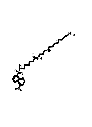 CN(C)C1=c2cccc(S(=O)(=O)NCCCCCC(=O)NCCCNCCCCNCCCN)c2=CCC1